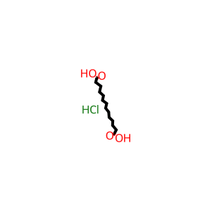 Cl.O=C(O)CCCCCCCCCCCCC(=O)O